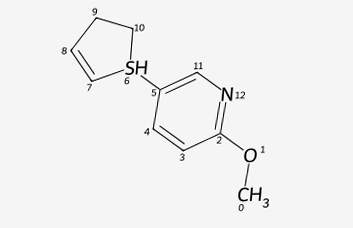 COc1ccc([SH]2C=CCC2)cn1